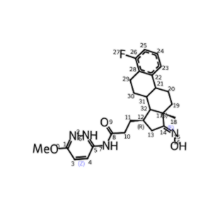 COC(=N)/C=C\C(=N)NC(=O)CC[C@@H]1C/C(=N\O)[C@@]2(C)CCC3c4cccc(F)c4CCC3C12